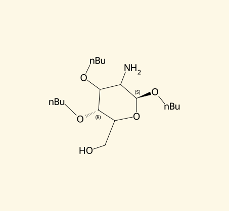 CCCCOC1C(N)[C@@H](OCCCC)OC(CO)[C@@H]1OCCCC